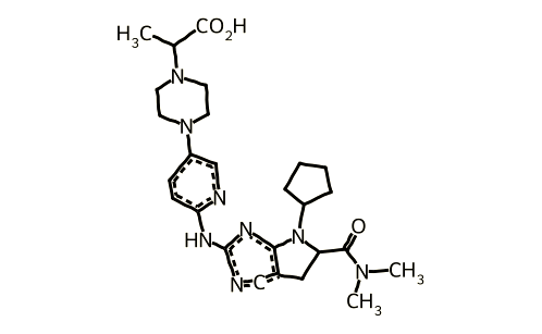 CC(C(=O)O)N1CCN(c2ccc(Nc3ncc4c(n3)N(C3CCCC3)C(C(=O)N(C)C)C4)nc2)CC1